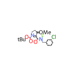 CO[C@@H]1CCN(C(=O)OC(C)(C)C)[C@@H]1C(=O)N(F)Cc1cccc(Cl)c1